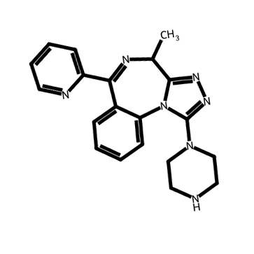 CC1N=C(c2ccccn2)c2ccccc2-n2c1nnc2N1CCNCC1